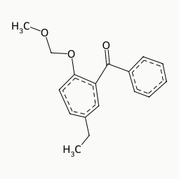 CCc1ccc(OCOC)c(C(=O)c2ccccc2)c1